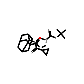 COC(=O)C12CC3CC(C1)C(N(CNC(=O)OC(C)(C)C)C(=O)C1CC1)C(C3)C2